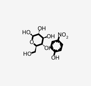 O=[N+]([O-])c1ccc(O)cc1.OC[C@H]1O[C@@H](O)[C@H](O)[C@@H](O)[C@@H]1O